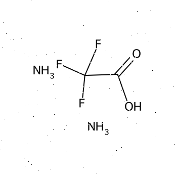 N.N.O=C(O)C(F)(F)F